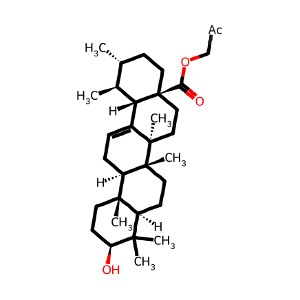 CC(=O)COC(=O)[C@]12CC[C@@H](C)[C@H](C)[C@H]1C1=CC[C@@H]3[C@@]4(C)CC[C@H](O)C(C)(C)[C@@H]4CC[C@@]3(C)[C@]1(C)CC2